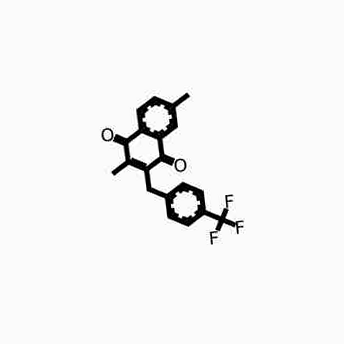 CC1=C(Cc2ccc(C(F)(F)F)cc2)C(=O)c2cc(C)ccc2C1=O